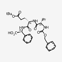 CC(C)[C@H](NC(=O)OCc1ccccc1)C(=O)N[C@@H](CCC(=O)OC(C)(C)C)C(=O)N[C@H](C(=O)O)c1ccccc1